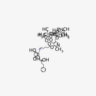 C#CC(C)(C)C(OC)(OC)C(=O)OCc1cnc(C)c(OC(=O)CCC/C=C\C[C@@H]2[C@@H](CC[C@@H](O)CCc3ccccc3)[C@H](O)C[C@@H]2O)c1COC(=O)C(OC)(OC)C(C)(C)C#C